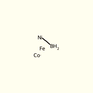 [BH2][Ni].[Co].[Fe]